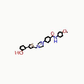 COc1ccc(NC(=O)c2ccc(N3CCN(Cc4cc(-c5cccc(O)c5)cs4)CC3)cc2)cc1